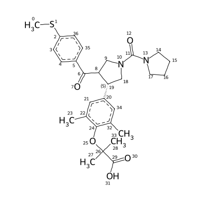 CSc1ccc(C(=O)C2CN(C(=O)N3CCCC3)C[C@@H]2c2cc(C)c(OC(C)(C)C(=O)O)c(C)c2)cc1